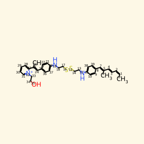 C\C=C/C=C/C(C)=C/c1ccc(NCCSSCCNc2ccc(/C=C(\C)c3cccc[n+]3CCO)cc2)cc1